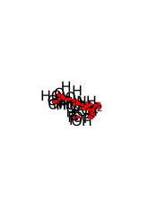 CC(C)(C)[C@H](c1cc(-c2cc(F)ccc2F)cn1Cc1ccccc1)N(CC[C@H](N)C(=O)N[C@H](CNC(=O)CNC(=O)CC(SC[C@H](N)C(=O)O)C(=O)O)C(=O)O)C(=O)CO.O=C(O)C(F)(F)F